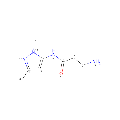 Cc1cc(NC(=O)CCN)n(C)n1